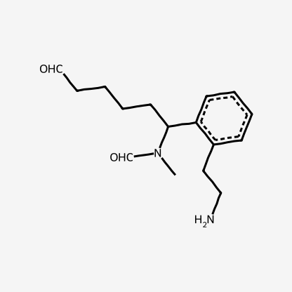 CN(C=O)C(CCCCC=O)c1ccccc1CCN